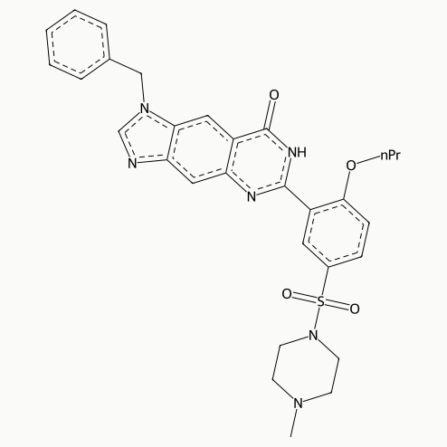 CCCOc1ccc(S(=O)(=O)N2CCN(C)CC2)cc1-c1nc2cc3ncn(Cc4ccccc4)c3cc2c(=O)[nH]1